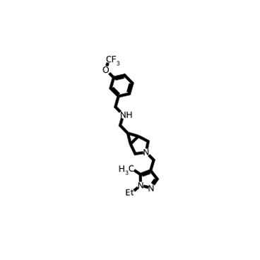 CCn1ncc(CN2CC3C(CNCc4cccc(OC(F)(F)F)c4)C3C2)c1C